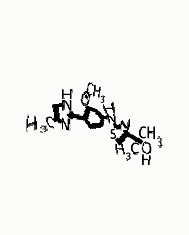 COc1cc(Nc2nc(C(C)(C)O)cs2)ccc1-c1nc(C)c[nH]1